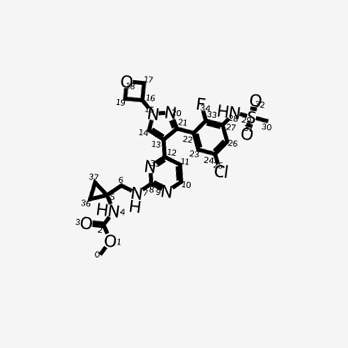 COC(=O)NC1(CNc2nccc(-c3cn(C4COC4)nc3-c3cc(Cl)cc(NS(C)(=O)=O)c3F)n2)CC1